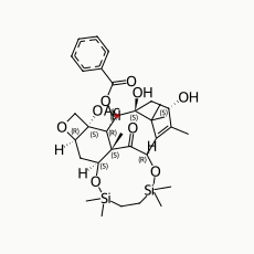 CC(=O)O[C@@]12CO[C@@H]1C[C@@H]1O[Si](C)(C)CC[Si](C)(C)O[C@H]3C(=O)[C@@]1(C)[C@@H]2[C@H](OC(=O)c1ccccc1)[C@]1(O)C[C@H](O)C(C)=C3C1(C)C